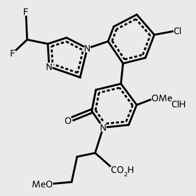 COCCC(C(=O)O)n1cc(OC)c(-c2cc(Cl)ccc2-n2cnc(C(F)F)c2)cc1=O.Cl